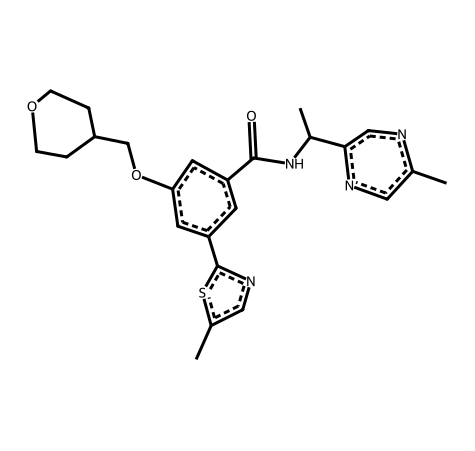 Cc1cnc(C(C)NC(=O)c2cc(OCC3CCOCC3)cc(-c3ncc(C)s3)c2)cn1